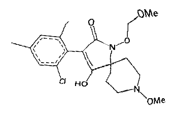 COCON1C(=O)C(c2c(C)cc(C)cc2Cl)=C(O)C12CCN(OC)CC2